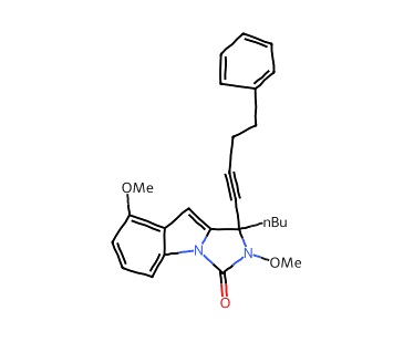 CCCCC1(C#CCCc2ccccc2)c2cc3c(OC)cccc3n2C(=O)N1OC